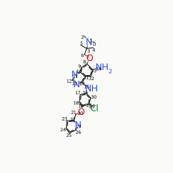 CN(C)C(C)(C)COc1cc2ncnc(Nc3ccc(OCc4ccccn4)c(Cl)c3)c2cc1N